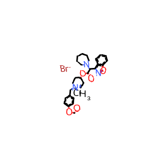 C[N+]1(Cc2ccc3c(c2)OCO3)CCC(OC(=O)C(c2noc3ccccc23)N2CCCCCC2)CC1.[Br-]